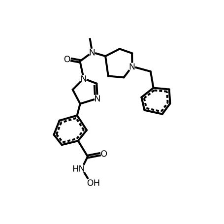 CN(C(=O)N1C=NC(c2cccc(C(=O)NO)c2)C1)C1CCN(Cc2ccccc2)CC1